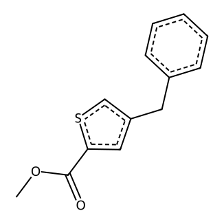 COC(=O)c1cc(Cc2ccccc2)cs1